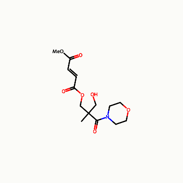 COC(=O)/C=C/C(=O)OCC(C)(CO)C(=O)N1CCOCC1